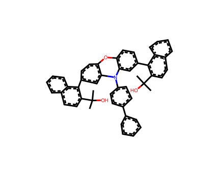 CC(C)(O)c1ccc2ccccc2c1-c1ccc2c(c1)N(c1ccc(-c3ccccc3)cc1)c1cc(-c3c(C(C)(C)O)ccc4ccccc34)ccc1O2